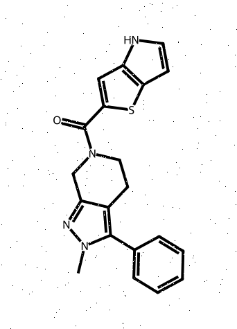 Cn1nc2c(c1-c1ccccc1)CCN(C(=O)c1cc3[nH]ccc3s1)C2